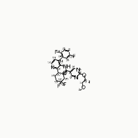 COC[C@@H](C)Oc1ncc(C(=O)Nc2c(-c3cc(F)ccc3F)ccnc2C2CCC(F)(F)CC2)cn1